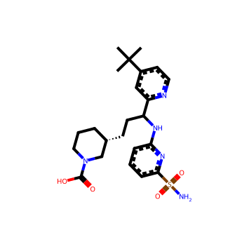 CC(C)(C)c1ccnc(C(CC[C@H]2CCCN(C(=O)O)C2)Nc2cccc(S(N)(=O)=O)n2)c1